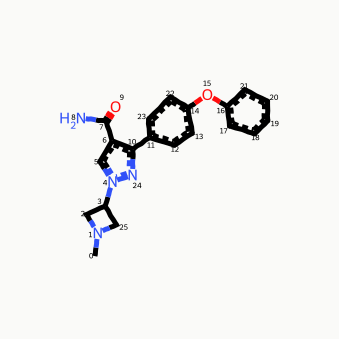 CN1CC(n2cc(C(N)=O)c(-c3ccc(Oc4ccccc4)cc3)n2)C1